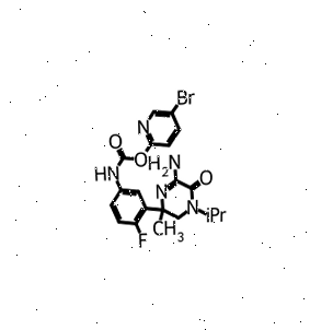 CC(C)N1CC(C)(c2cc(NC(=O)Oc3ccc(Br)cn3)ccc2F)N=C(N)C1=O